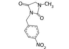 CN1CC(=O)N(Cc2ccc([N+](=O)[O-])cc2)C1=O